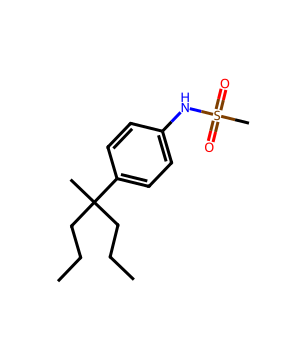 CCCC(C)(CCC)c1ccc(NS(C)(=O)=O)cc1